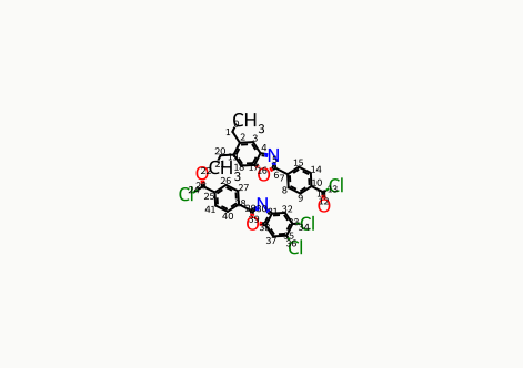 CCc1cc2nc(-c3ccc(C(=O)Cl)cc3)oc2cc1CC.O=C(Cl)c1ccc(-c2nc3cc(Cl)c(Cl)cc3o2)cc1